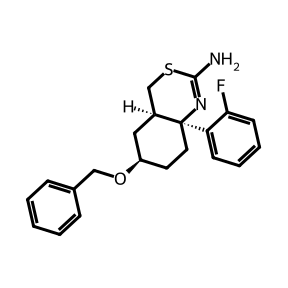 NC1=N[C@@]2(c3ccccc3F)CC[C@@H](OCc3ccccc3)C[C@H]2CS1